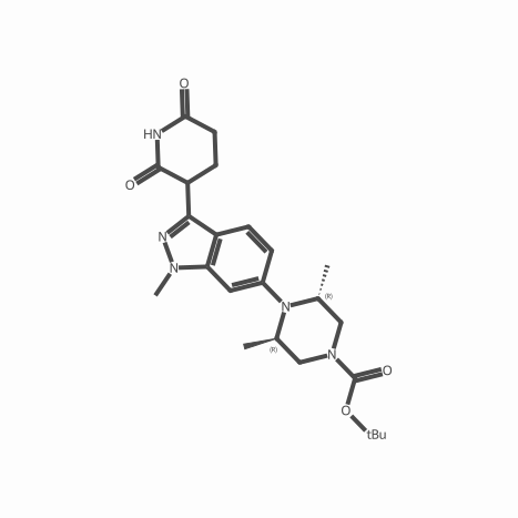 C[C@@H]1CN(C(=O)OC(C)(C)C)C[C@@H](C)N1c1ccc2c(C3CCC(=O)NC3=O)nn(C)c2c1